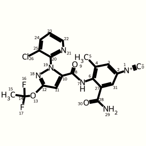 [C-]#[N+]c1cc(C)c(NC(=O)c2cc(OC(C)(F)F)nn2-c2ncccc2Cl)c(C(N)=O)c1